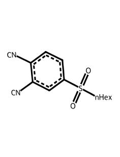 [C-]#[N+]c1ccc(S(=O)(=O)CCCCCC)cc1[N+]#[C-]